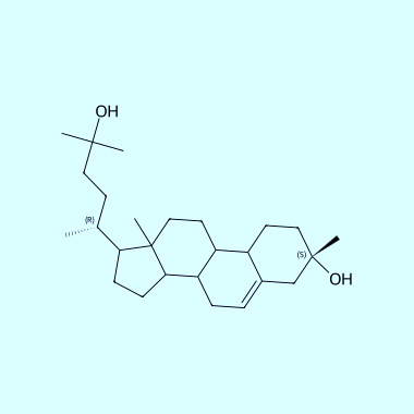 C[C@H](CCC(C)(C)O)C1CCC2C3CC=C4C[C@@](C)(O)CCC4C3CCC21C